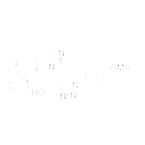 COc1ccc(-n2cc(C(O)c3c(-c4ccccc4F)sc4cncn34)nn2)cc1